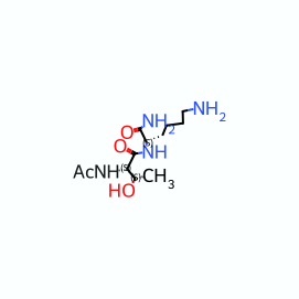 CC(=O)N[C@H](C(=O)N[C@@H](CCCCN)C(N)=O)[C@H](C)O